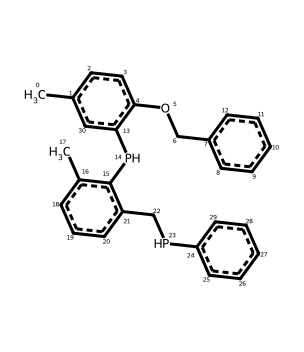 Cc1ccc(OCc2ccccc2)c(Pc2c(C)cccc2CPc2ccccc2)c1